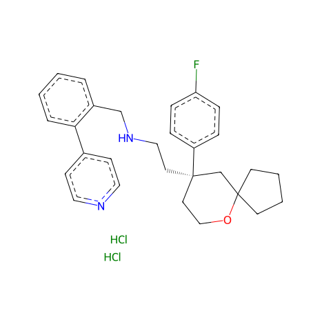 Cl.Cl.Fc1ccc([C@]2(CCNCc3ccccc3-c3ccncc3)CCOC3(CCCC3)C2)cc1